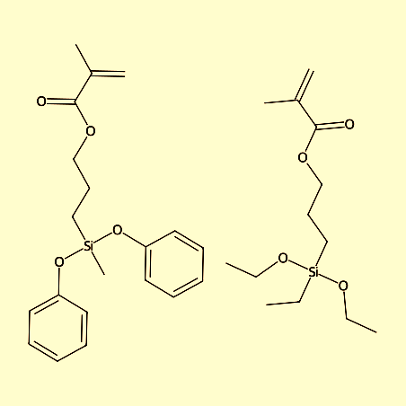 C=C(C)C(=O)OCCC[Si](C)(Oc1ccccc1)Oc1ccccc1.C=C(C)C(=O)OCCC[Si](CC)(OCC)OCC